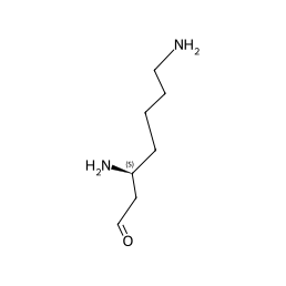 NCCCC[C@H](N)CC=O